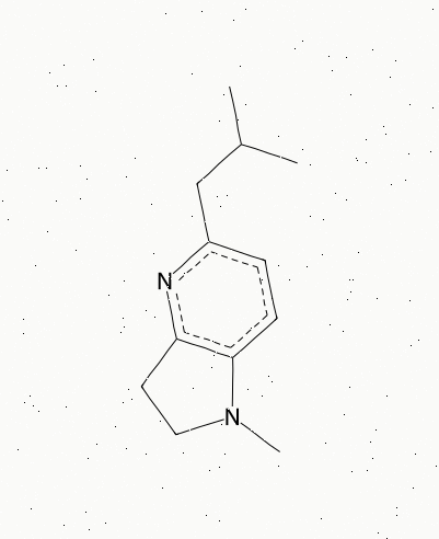 CC(C)Cc1ccc2c(n1)CCN2C